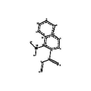 C=CC(=O)c1ccc2ccccc2c1N(C)C